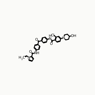 C=Cn1cccc1C(=O)Nc1ccc(C(=O)c2ccc(NC(=O)c3ccc(N4CCC(O)CC4)cc3Cl)cc2)cc1